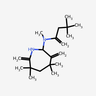 C=C(CC(C)(C)C)N(C)C1NC(=C)C(C)(C)CC(C)(C)C1=C